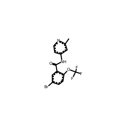 Cc1cc(NC(=O)c2cc(Br)ccc2OC(F)(F)F)ccn1